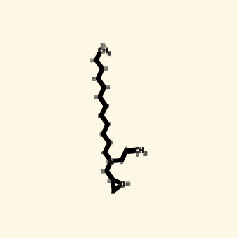 C=CCN(CCCCCCCCCCCC)CC1CO1